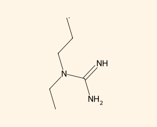 [CH2]CCN(CC)C(=N)N